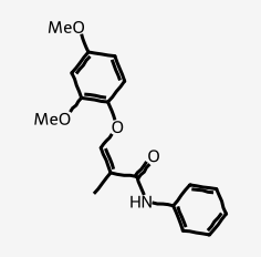 COc1ccc(OC=C(C)C(=O)Nc2ccccc2)c(OC)c1